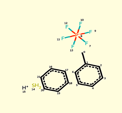 Cc1ccccc1.F[P-](F)(F)(F)(F)F.S.[H+].c1ccccc1